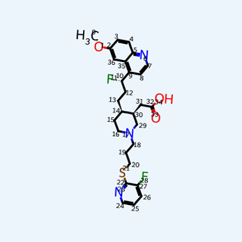 COc1ccc2nccc([C@@H](F)CC[C@@H]3CCN(CCCSc4ncccc4F)C[C@@H]3CC(=O)O)c2c1